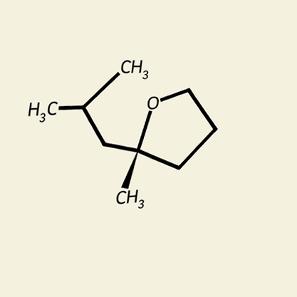 CC(C)C[C@@]1(C)CCCO1